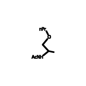 CCCOCC(C)NC(C)=O